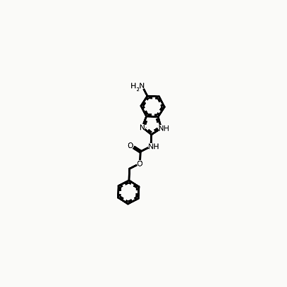 Nc1ccc2[nH]c(NC(=O)OCc3ccccc3)nc2c1